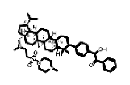 C=C(C)[C@@H]1CC[C@]2(CN(C)CCS(=O)(=O)N3CCN(C)CC3)CC[C@]3(C)[C@H](CC[C@@H]4[C@@]5(C)CC=C(c6ccc(C(O)C(=O)c7ccccc7)cc6)C(C)(C)[C@@H]5CC[C@]43C)[C@@H]12